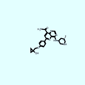 NC(=O)c1cc(-c2ccc(OCC3(O)CC3)cc2)nc2c(N[C@@H]3CNC[C@@H](F)C3)ncnc12